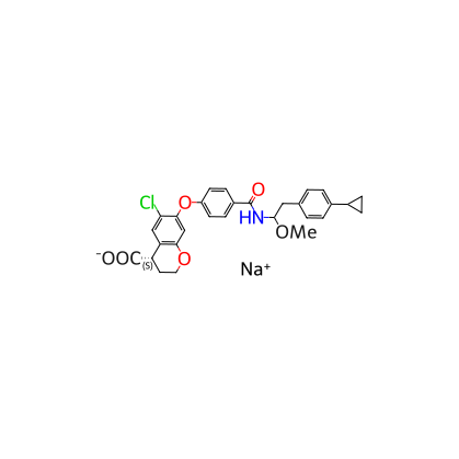 COC(Cc1ccc(C2CC2)cc1)NC(=O)c1ccc(Oc2cc3c(cc2Cl)[C@@H](C(=O)[O-])CCO3)cc1.[Na+]